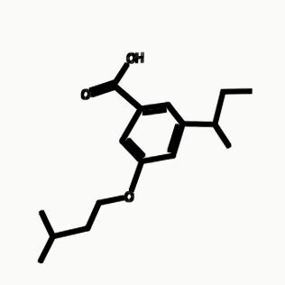 CCC(C)c1cc(OCCC(C)C)cc(C(=O)O)c1